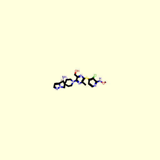 CONc1nccc(Sc2nc(CO)c(N3CCC4(CC3)Cn3nccc3[C@@H]4N)nc2C)c1Cl